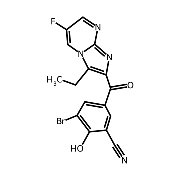 CCc1c(C(=O)c2cc(Br)c(O)c(C#N)c2)nc2ncc(F)cn12